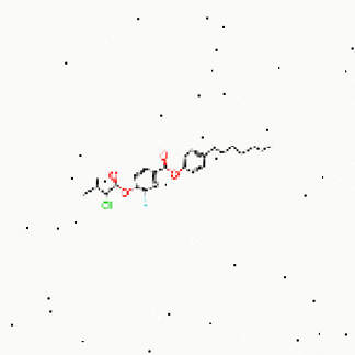 CCCCCCCc1ccc(OC(=O)c2ccc(OC(=O)C(Cl)C(C)C)c(F)c2)cc1